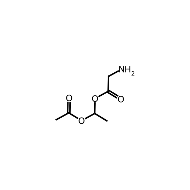 CC(=O)OC(C)OC(=O)CN